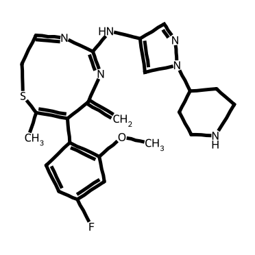 C=C1/N=C(Nc2cnn(C3CCNCC3)c2)\N=C/CS/C(C)=C\1c1ccc(F)cc1OC